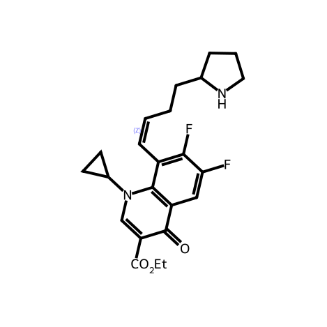 CCOC(=O)c1cn(C2CC2)c2c(/C=C\CCC3CCCN3)c(F)c(F)cc2c1=O